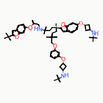 CC(CNC(C)(C)CC[C@@](C)(CCC(C)(C)COc1cccc(O[C@H]2C[C@@H](NC(C)(C)C)C2)c1)c1cc2ccc(O[C@H]3C[C@H](NC(C)(C)C)C3)cc2o1)Oc1ccc2cc(C(C)(C)C)oc2c1